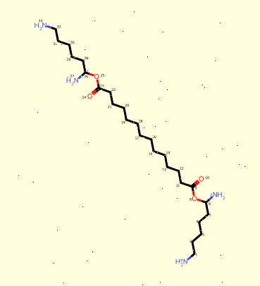 NCCCCCC(N)OC(=O)CCCCCCCCCCCCC(=O)OC(N)CCCCCN